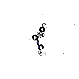 C\C=C/C(/C=C/c1ccccc1NS(=O)(=O)c1ccc(OC)cc1)=C\C=N\O